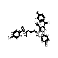 Cc1ccc(C(=O)c2nn(-c3ccc(Cl)cc3)c(NCCCNC(=O)c3ccc(Br)cc3)c2C#N)cc1